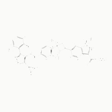 COC(=O)c1nn(C)c2cc(C3CC(O)(c4ccc(OCc5c(-c6c(Cl)cccc6Cl)noc5C5CC5)cc4Cl)C3)ccc12